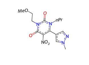 CCCn1c(-c2cnn(C)c2)c([N+](=O)[O-])c(=O)n(CCOC)c1=O